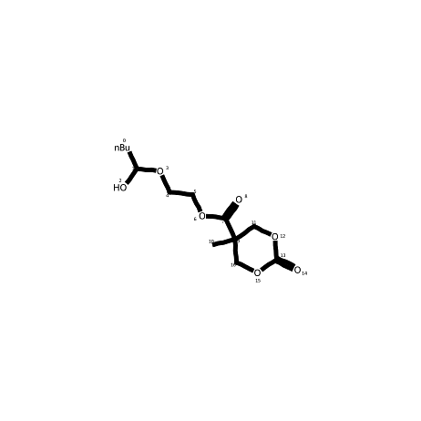 CCCCC(O)OCCOC(=O)C1(C)COC(=O)OC1